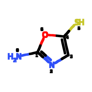 Nc1ncc(S)o1